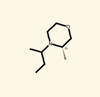 CCC(C)N1CCOC[C@@H]1C